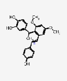 COc1cc(/C=C/c2ccc(O)cc2)c(C(C)c2ccc(O)c(O)c2)c(OC)c1